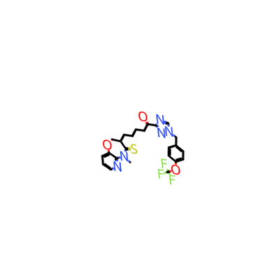 CN1C(=S)C(CCCCC(=O)c2ncn(Cc3ccc(OC(F)(F)F)cc3)n2)COc2cccnc21